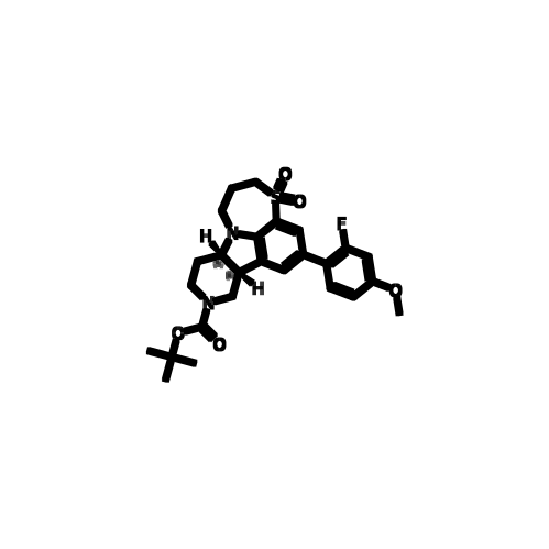 COc1ccc(-c2cc3c4c(c2)S(=O)(=O)CCCN4[C@H]2CCN(C(=O)OC(C)(C)C)C[C@@H]32)c(F)c1